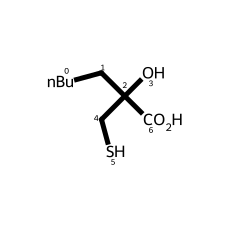 CCCCCC(O)(CS)C(=O)O